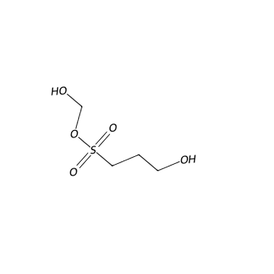 O=S(=O)(CCCO)OCO